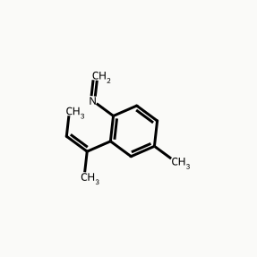 C=Nc1ccc(C)cc1/C(C)=C\C